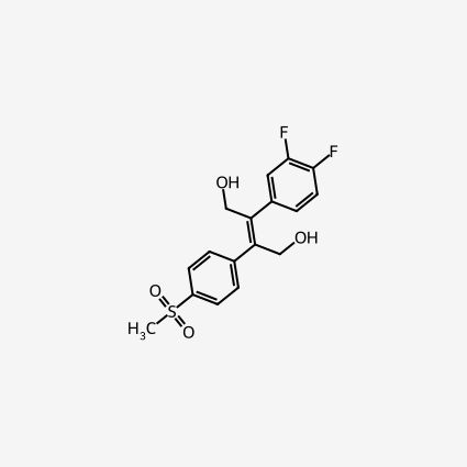 CS(=O)(=O)c1ccc(/C(CO)=C(\CO)c2ccc(F)c(F)c2)cc1